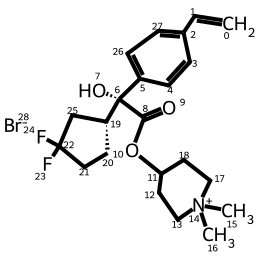 C=Cc1ccc([C@@](O)(C(=O)OC2CC[N+](C)(C)CC2)[C@@H]2CCC(F)(F)C2)cc1.[Br-]